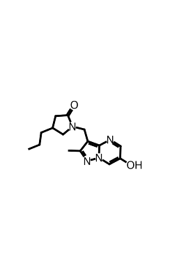 CCCC1CC(=O)N(Cc2c(C)nn3cc(O)cnc23)C1